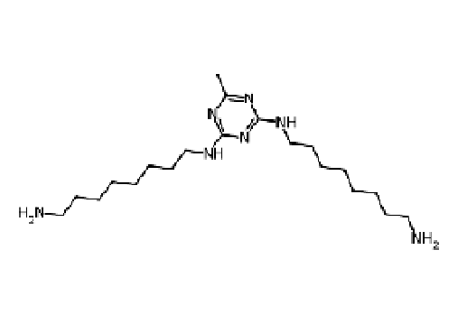 Cc1nc(NCCCCCCCCN)nc(NCCCCCCCCN)n1